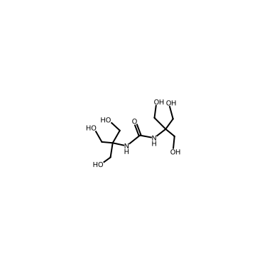 O=C(NC(CO)(CO)CO)NC(CO)(CO)CO